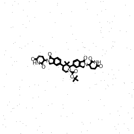 CC(C)(C)OC(=O)N1CCC(c2ccc3c(c2)CN(C2CCC(=O)NC2=O)C3=O)C(C)(C)C1c1ccc2c(c1)CN(C1CCC(=O)NC1=O)C2=O